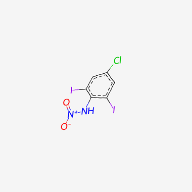 O=[N+]([O-])Nc1c(I)cc(Cl)cc1I